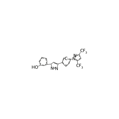 Oc1cccc(C2C=C(c3ccc(-n4nc(C(F)(F)F)cc4C(F)(F)F)cc3)N=N2)c1